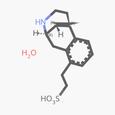 O.O=S(=O)(O)CCc1cccc2c1C[C@H]1NCC[C@@]23CCCC[C@@H]13